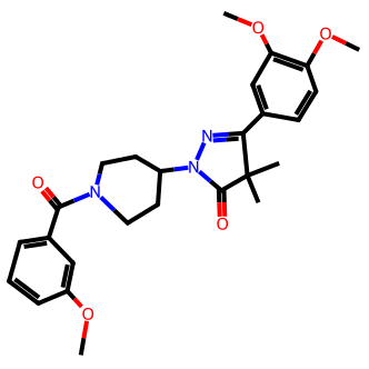 COc1cccc(C(=O)N2CCC(N3N=C(c4ccc(OC)c(OC)c4)C(C)(C)C3=O)CC2)c1